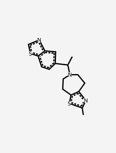 Cc1nc2c(s1)CCN(C(C)c1ccc3scnc3c1)CC2